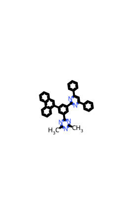 Cc1nc(C)nc(-c2cc(-c3nc(-c4ccccc4)cc(-c4ccccc4)n3)cc(-c3cc4ccccc4c4ccccc34)c2)n1